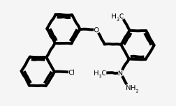 Cc1cccc(N(C)N)c1COc1cccc(-c2ccccc2Cl)c1